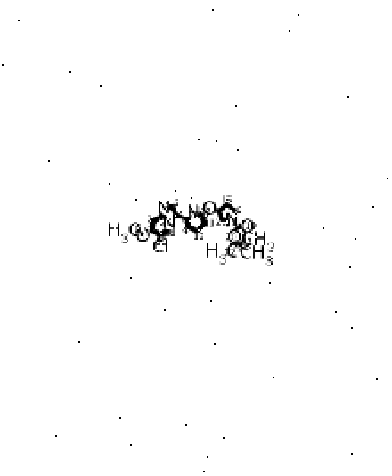 COc1cc2ncc(-c3cccc(OC4CCN(C(=O)OC(C)(C)C)C4)n3)n2cc1Cl